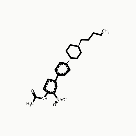 CCCCC[C@H]1CC[C@H](c2ccc(-c3ccc(NC(C)=O)c([N+](=O)[O-])c3)cc2)CC1